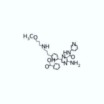 COCCCNCCCc1ccc(-c2cnc(N)c(C(=O)Nc3cccnc3)n2)cc1.O=C(O)c1ccccc1